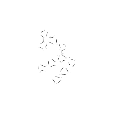 c1ccc(-c2ccc(-c3nc(-c4cccc(-c5ccc6c7ccccc7c7ccccc7c6c5)c4)c4sc5cccc(-c6ccc(-c7ccccc7)cc6)c5c4n3)cc2)cc1